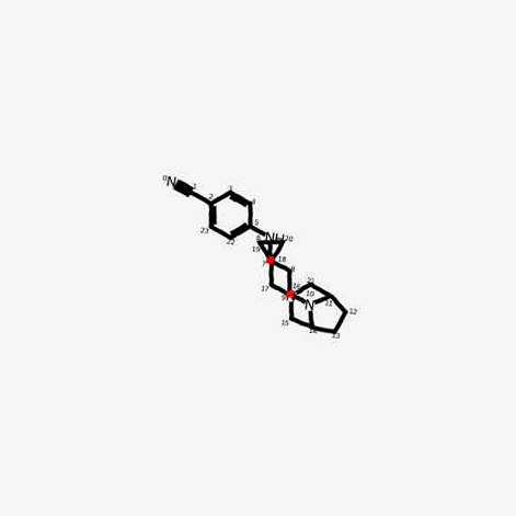 N#Cc1ccc(NCCCN2C3CCC2CN(CC2CC2)C3)cc1